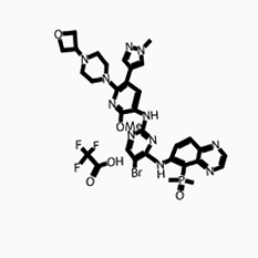 COc1nc(N2CCN(C3COC3)CC2)c(-c2cnn(C)c2)cc1Nc1ncc(Br)c(Nc2ccc3nccnc3c2P(C)(C)=O)n1.O=C(O)C(F)(F)F